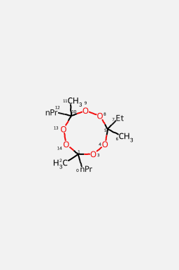 CCCC1(C)OOC(C)(CC)OOC(C)(CCC)OO1